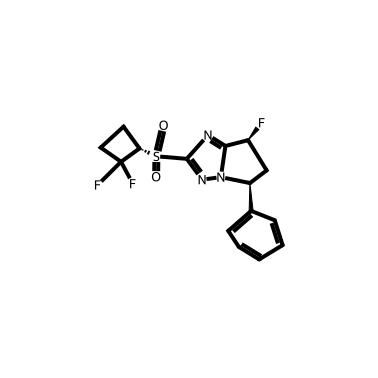 O=S(=O)(c1nc2n(n1)[C@H](c1ccccc1)C[C@@H]2F)[C@H]1CCC1(F)F